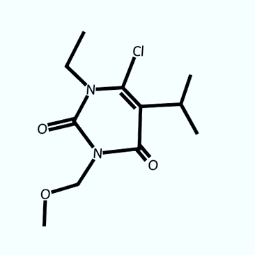 CCn1c(Cl)c(C(C)C)c(=O)n(COC)c1=O